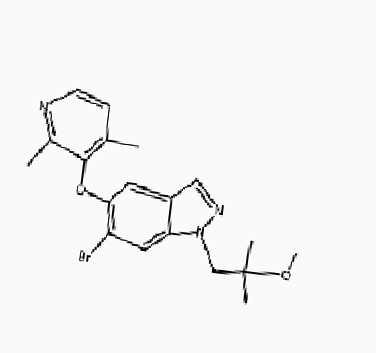 COC(C)(C)Cn1ncc2cc(Oc3c(C)ccnc3C)c(Br)cc21